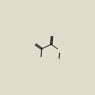 C=C(ON)C(=O)O